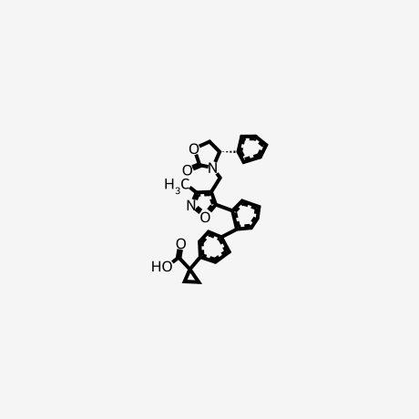 Cc1noc(-c2ccccc2-c2ccc(C3(C(=O)O)CC3)cc2)c1CN1C(=O)OC[C@@H]1c1ccccc1